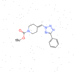 CC(C)(C)OC(=O)N1CCC(=Cn2nnc(-c3ccccc3)n2)CC1